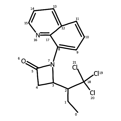 CCC(C1CC(=O)N1c1cccc2cccnc12)C(Cl)(Cl)Cl